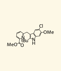 COC(=O)c1cccc(Cc2c(C(C)(C)C)[nH]c3cc(OC)c(Cl)cc23)n1